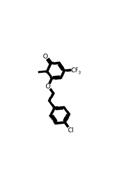 CC1C(=O)C=C(C(F)(F)F)C=C1OCCc1ccc(Cl)cc1